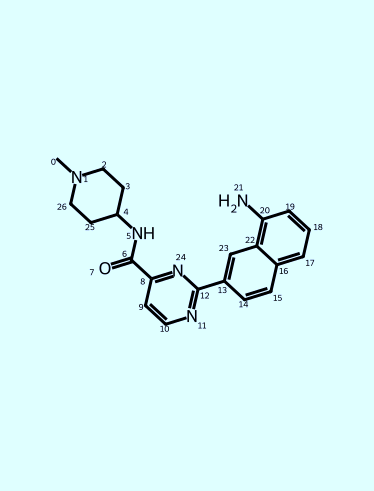 CN1CCC(NC(=O)c2ccnc(-c3ccc4cccc(N)c4c3)n2)CC1